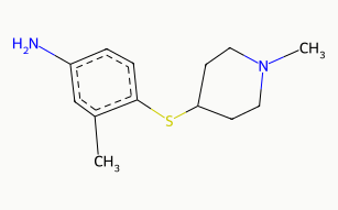 Cc1cc(N)ccc1SC1CCN(C)CC1